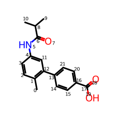 Cc1ccc(NC(=O)C(C)C)cc1-c1ccc(C(=O)O)cc1